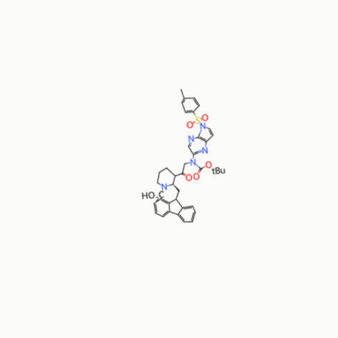 Cc1ccc(S(=O)(=O)n2ccc3nc(N(CC(=O)C4CCCN(C(=O)O)[C@@H]4CC4c5ccccc5-c5ccccc54)C(=O)OC(C)(C)C)cnc32)cc1